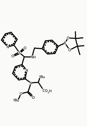 CC(C)(C)OC(=O)N(c1cccc(C(NCc2ccc(B3OC(C)(C)C(C)(C)O3)cc2)S(=O)(=O)c2ccccn2)n1)C(C(=O)O)C(C)(C)C